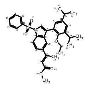 CCOc1c(-c2cn(S(=O)(=O)c3ccccc3)c3ccc(/C(C)=C/C(=O)OC)cc23)cc(C(C)C)cc1C(C)C